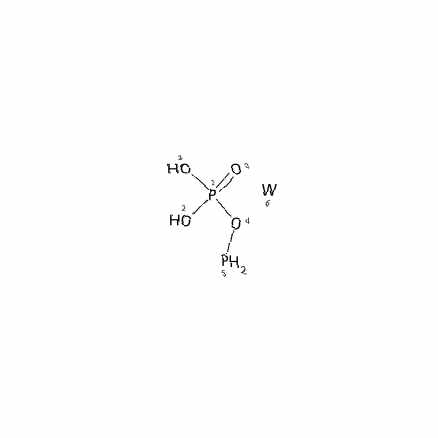 O=P(O)(O)OP.[W]